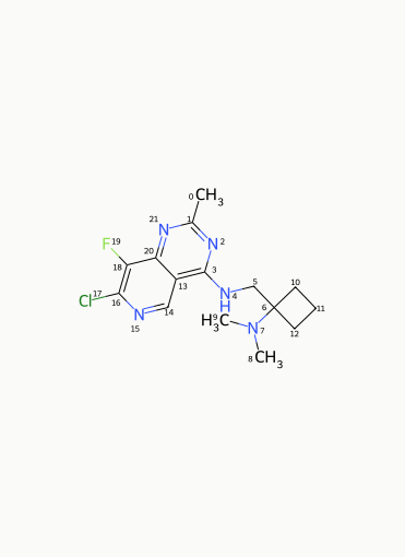 Cc1nc(NCC2(N(C)C)CCC2)c2cnc(Cl)c(F)c2n1